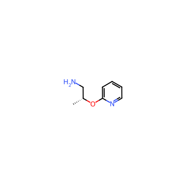 C[C@H](CN)Oc1ccccn1